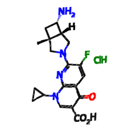 C[C@@]12C[C@H](N)[C@@H]1CN(c1nc3c(cc1F)c(=O)c(C(=O)O)cn3C1CC1)C2.Cl